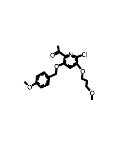 COCCCOc1cc(OCc2ccc(OC)cc2)c(C(C)=O)nc1Cl